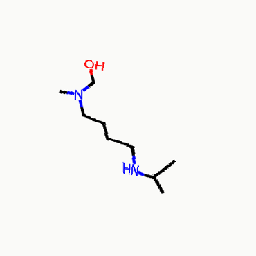 CC(C)NCCCCN(C)CO